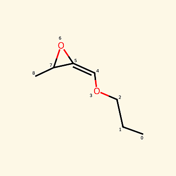 CCCOC=C1OC1C